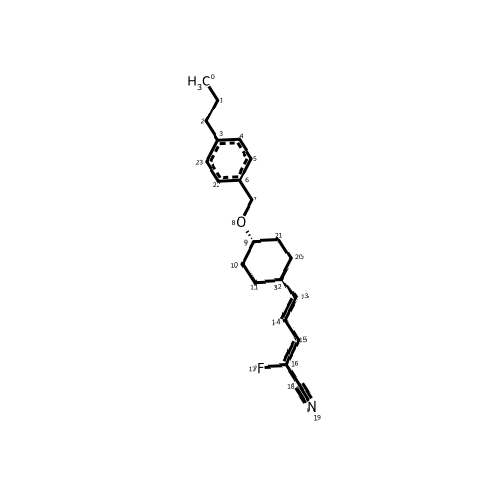 CCCc1ccc(CO[C@H]2CC[C@H](C=CC=C(F)C#N)CC2)cc1